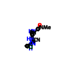 CNC(=O)[C@H]1CC[C@@H](CN[C@@H]2[C@@H]3CC(C[C@@H](CNc4nc(NCc5ccccc5Cl)ncc4C#N)C3)C[C@H]2C)CC1